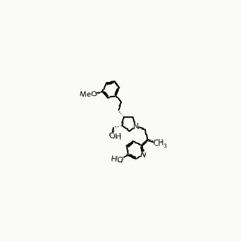 COc1cccc(CC[C@@H]2CN(CC(C)c3ccc(O)cn3)C[C@@H]2CO)c1